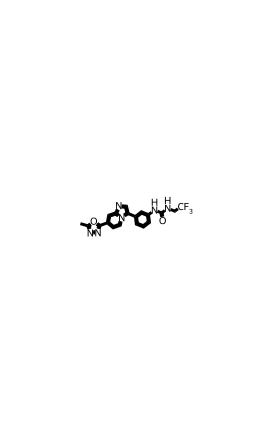 Cc1nnc(-c2ccn3c(-c4cccc(NC(=O)NCC(F)(F)F)c4)cnc3c2)o1